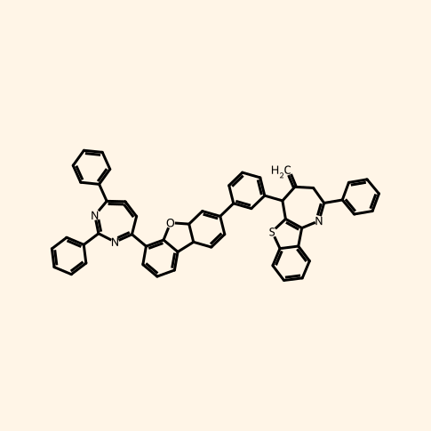 C=C1CC(c2ccccc2)=Nc2c(sc3ccccc23)C1c1cccc(C2=CC3Oc4c(C5=NC(c6ccccc6)=NC(c6ccccc6)=C=C5)cccc4C3C=C2)c1